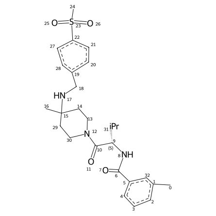 Cc1cccc(C(=O)N[C@H](C(=O)N2CCC(C)(NCc3ccc(S(C)(=O)=O)cc3)CC2)C(C)C)c1